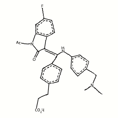 CC(=O)N1C(=O)C(=C(Nc2ccc(CN(C)C)cc2)c2ccc(CCC(=O)O)cc2)c2ccc(F)cc21